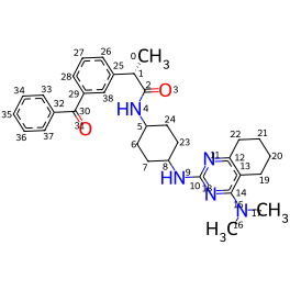 C[C@H](C(=O)NC1CCC(Nc2nc3c(c(N(C)C)n2)CCCC3)CC1)c1cccc(C(=O)c2ccccc2)c1